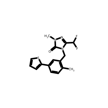 Cc1ccc(-c2cccs2)cc1Cn1c(C(F)F)nn(C)c1=O